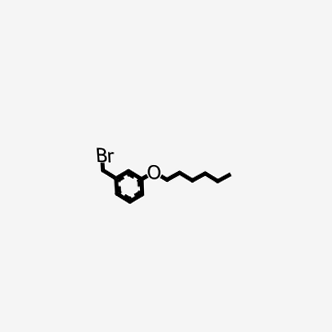 CCCCCCOc1cccc(CBr)c1